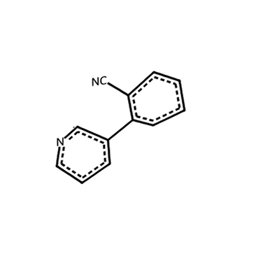 N#Cc1ccccc1-c1[c]nccc1